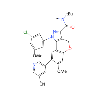 COc1cc(Cl)cc(-n2nc(C(=O)N(C)C(C)(C)C)c3c2-c2cc(-c4cncc(C#N)c4)c(OC)cc2OC3)c1